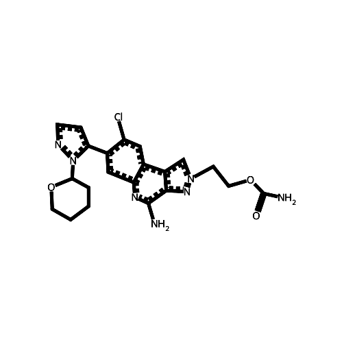 NC(=O)OCCn1cc2c(n1)c(N)nc1cc(-c3ccnn3C3CCCCO3)c(Cl)cc12